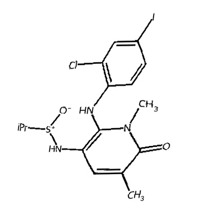 Cc1cc(N[S+]([O-])C(C)C)c(Nc2ccc(I)cc2Cl)n(C)c1=O